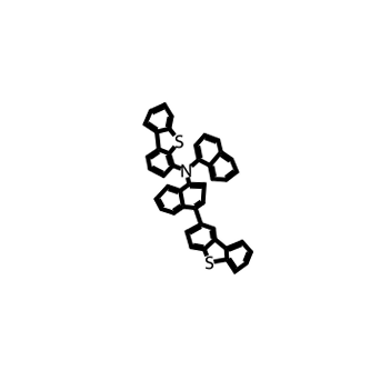 c1ccc2c(N(c3ccc(-c4ccc5sc6ccccc6c5c4)c4ccccc34)c3cccc4c3sc3ccccc34)cccc2c1